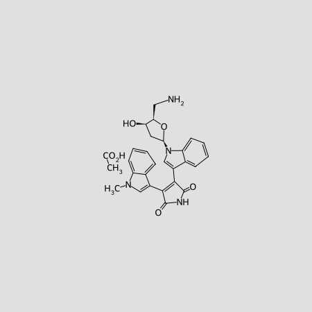 CC(=O)O.Cn1cc(C2=C(c3cn([C@H]4C[C@@H](O)[C@@H](CN)O4)c4ccccc34)C(=O)NC2=O)c2ccccc21